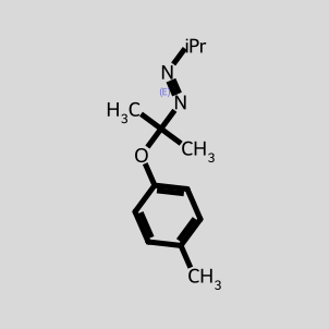 Cc1ccc(OC(C)(C)/N=N/C(C)C)cc1